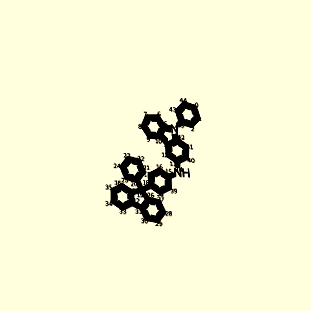 c1ccc(-n2c3ccccc3c3cc(Nc4ccc(C5(c6ccccc6)c6ccccc6-c6ccccc65)cc4)ccc32)cc1